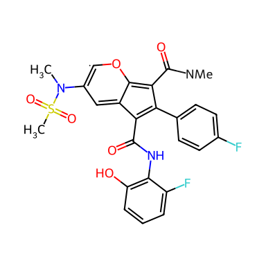 CNC(=O)c1c2o[c]c(N(C)S(C)(=O)=O)cc-2c(C(=O)Nc2c(O)cccc2F)c1-c1ccc(F)cc1